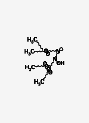 CCCCCCCCC(CCCCCC)COC(=O)CCCCCN(CCCCN(CCO)CCCCC(COC(=O)CCCCCCC)COC(=O)CCCCCCC)C1CCCC1